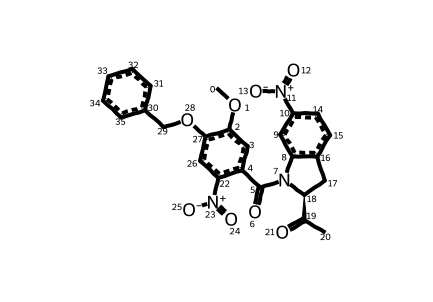 COc1cc(C(=O)N2c3cc([N+](=O)[O-])ccc3C[C@H]2C(C)=O)c([N+](=O)[O-])cc1OCc1ccccc1